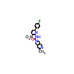 Cc1cc2c(cn1)CN(C(=O)Nc1nc(-c3ccc(F)cc3)ccc1[N+](=O)[O-])C2